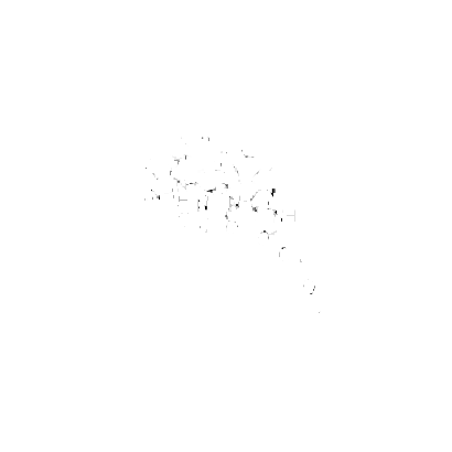 CCOCCOCC(=O)Nc1nc(-c2ccccc2)c(NC(=O)[C@@H]2CCCN2C(=O)[C@@H](NC(=O)[C@H](C)NC)C2CCCCC2)s1